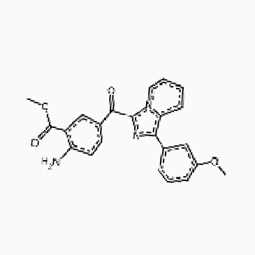 COC(=O)c1cc(C(=O)c2nc(-c3cccc(OC)c3)c3ccccn23)ccc1N